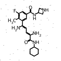 Cc1c(F)cc(C(=O)NC2CNC2)cc1/C(N)=C/C=C(\N)C(=O)NC1CCCCC1